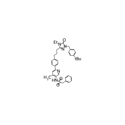 CCn1c(CCCc2ccc(-c3cc(C)c(NS(=O)(=O)Cc4ccccc4)cn3)cc2)nn(Cc2ccc(C(C)(C)C)cc2)c1=O